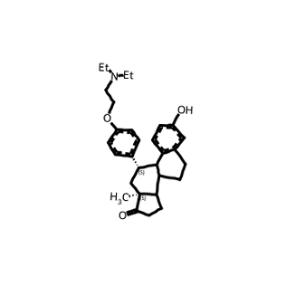 CCN(CC)CCOc1ccc([C@H]2C[C@]3(C)C(=O)CCC3C3CCc4cc(O)ccc4C32)cc1